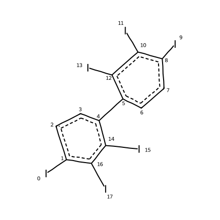 Ic1[c]cc(-c2ccc(I)c(I)c2I)c(I)c1I